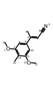 COc1cc(/C(C)=C/C#N)cc(OC)c1C